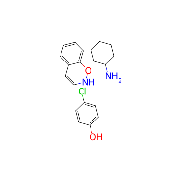 C1=Cc2ccccc2ON1.NC1CCCCC1.Oc1ccc(Cl)cc1